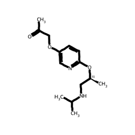 CC(=O)COc1ccc(O[C@@H](C)CNC(C)C)nc1